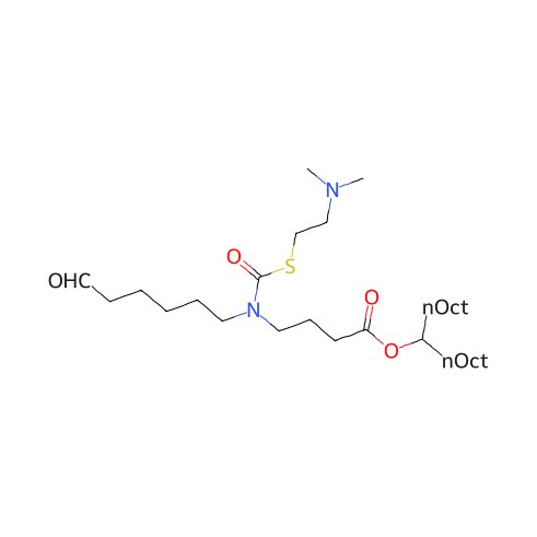 CCCCCCCCC(CCCCCCCC)OC(=O)CCCN(CCCCCC=O)C(=O)SCCN(C)C